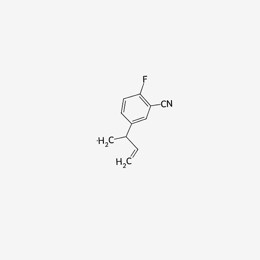 [CH2]C(C=C)c1ccc(F)c(C#N)c1